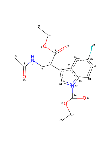 CCOC(=O)C(CNC(C)=O)c1cn(C(=O)OCC)c2ccc(F)cc12